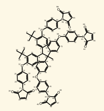 CC(C)(C)c1cc(C(c2ccc(Oc3ccc(N4C(=O)C=CC4=O)cc3)c(C(C)(C)C)c2)C(C)(c2ccc(Oc3ccc(N4C(=O)C=CC4=O)cc3)cc2)c2ccc(Oc3ccc(N4C(=O)C=CC4=O)cc3)cc2)ccc1Oc1ccc(N2C(=O)C=CC2=O)cc1